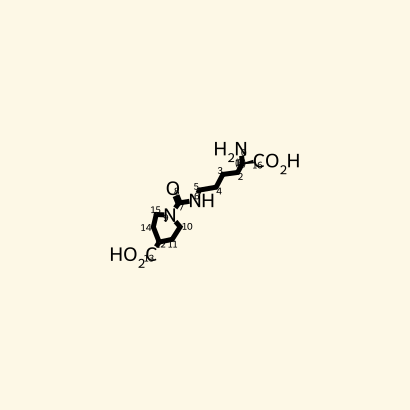 N[C@H](CCCCNC(=O)N1CCC(C(=O)O)CC1)C(=O)O